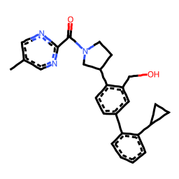 Cc1cnc(C(=O)N2CCC(c3ccc(-c4ccccc4C4CC4)cc3CO)C2)nc1